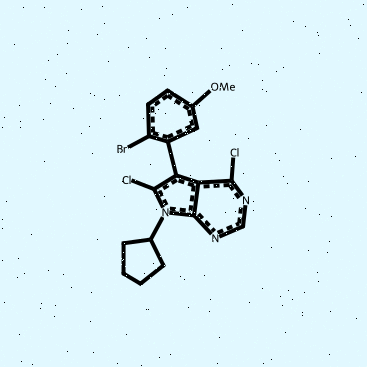 COc1ccc(Br)c(-c2c(Cl)n(C3CCCC3)c3ncnc(Cl)c23)c1